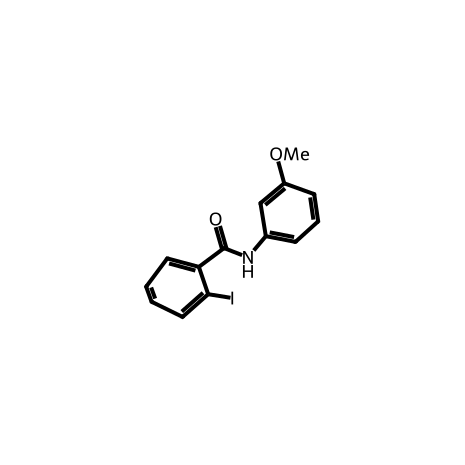 COc1cccc(NC(=O)c2ccccc2I)c1